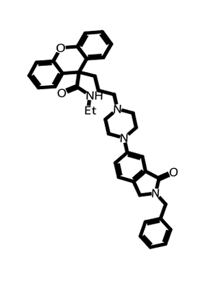 CCNC(=O)C1(CCCN2CCN(c3ccc4c(c3)C(=O)N(Cc3ccccc3)C4)CC2)c2ccccc2Oc2ccccc21